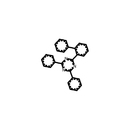 c1ccc(-c2nc(-c3ccccc3)nc(-c3ccccc3-c3ccccc3)n2)cc1